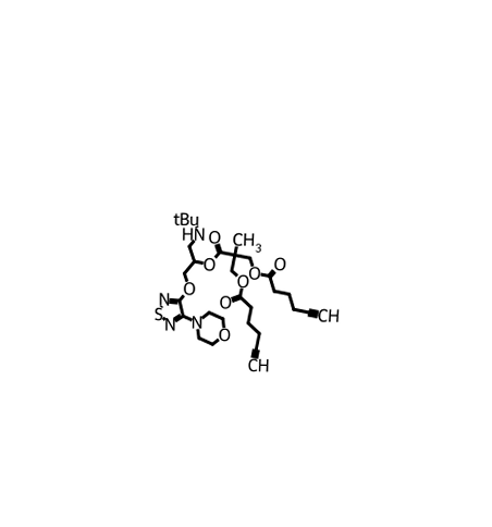 C#CCCCC(=O)OCC(C)(COC(=O)CCCC#C)C(=O)OC(CNC(C)(C)C)COc1nsnc1N1CCOCC1